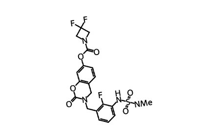 CNS(=O)(=O)Nc1cccc(CN2Cc3ccc(OC(=O)N4CC(F)(F)C4)cc3OC2=O)c1F